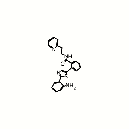 Nc1ccccc1-c1ncc(-c2ccccc2C(=O)NCCc2ccccn2)s1